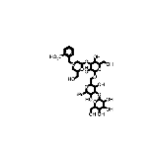 CC(C)C1OC(COC2OC(CO)C(O)C(OC3CN(Cc4ccccc4C(=O)O)CC(CO)O3)C2O)C(O)C(OC2OC(CO)C(O)C(O)C2O)C1O